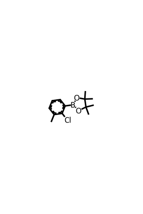 Cc1cccc(B2OC(C)(C)C(C)(C)O2)c1Cl